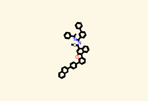 C=C=C(/N=C(\N=C(/C)c1ccccc1)c1cccc(-c2ccccc2)c1)c1cc2oc3c(-c4ccc(C5=CC=C6C=CC=CC6C5)cc4)cccc3c2c2ccccc12